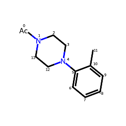 CC(=O)N1CCN(c2cc[c]cc2C)CC1